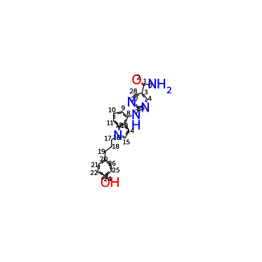 NC(=O)c1cnc(Nc2cccc3c2ccn3CCCc2ccc(O)cc2)nc1